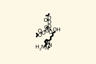 CC(C)OC(=O)OCOP(=O)(COC(CO)CCCc1ccc2c(N)ncnn12)OCOC(=O)OC(C)C